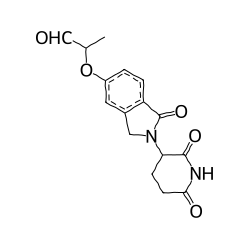 CC(C=O)Oc1ccc2c(c1)CN(C1CCC(=O)NC1=O)C2=O